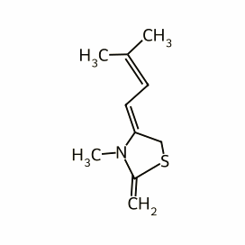 C=C1SC/C(=C\C=C(C)C)N1C